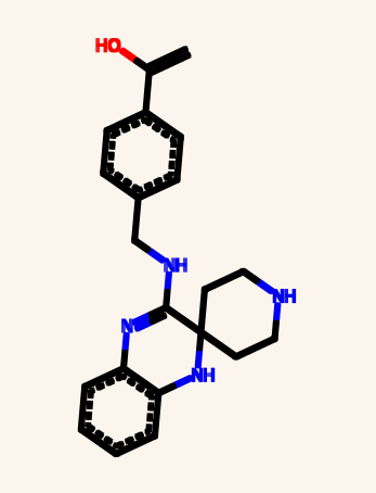 C=C(O)c1ccc(CNC2=Nc3ccccc3NC23CCNCC3)cc1